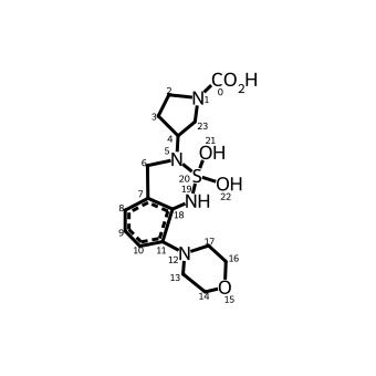 O=C(O)N1CCC(N2Cc3cccc(N4CCOCC4)c3NS2(O)O)C1